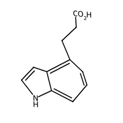 O=C(O)CCc1cccc2[nH]ccc12